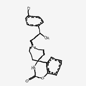 O=C1NC2(CCN(CC(O)c3ccc(Cl)cc3)CC2)c2ccccc2O1